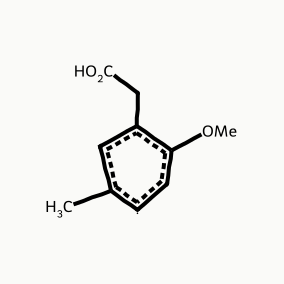 COc1c[c]c(C)cc1CC(=O)O